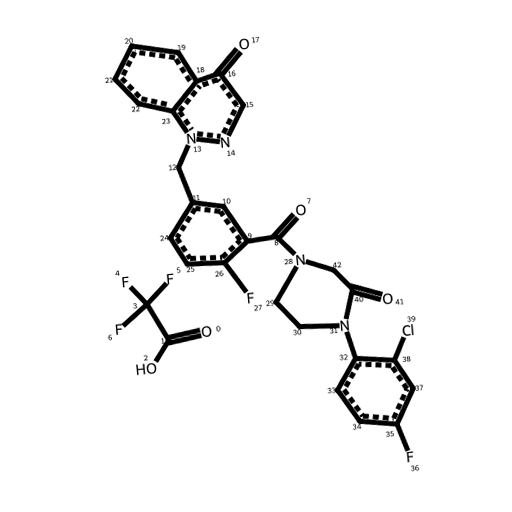 O=C(O)C(F)(F)F.O=C(c1cc(Cn2ncc(=O)c3ccccc32)ccc1F)N1CCN(c2ccc(F)cc2Cl)C(=O)C1